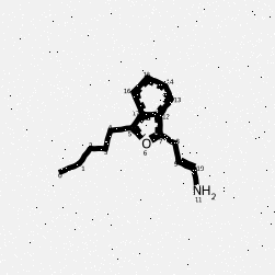 CCCCCc1oc(CC=CN)c2ccccc12